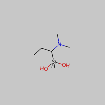 CCC(N(C)C)[SiH](O)O